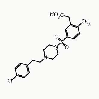 Cc1ccc(S(=O)(=O)N2CCN(CCc3ccc(Cl)cc3)CC2)cc1CC(=O)O